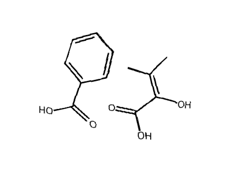 CC(C)=C(O)C(=O)O.O=C(O)c1ccccc1